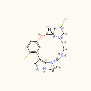 Fc1ccc2cc1-c1cnn3ccc(nc13)NCCN1C[C@H](F)C[C@H]1CO2